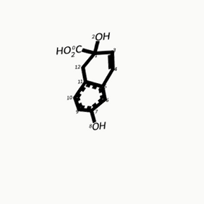 O=C(O)C1(O)C=Cc2cc(O)ccc2C1